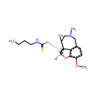 CCCCNC(=S)O[C@H]1C[C@H]2Oc3c(OC)ccc4c3[C@@]2(CCN(C)C4)C1C